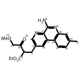 CCOC(=O)C(Cc1cnc2c(N)nc3cc(C)ccc3c2c1)C(=O)COC